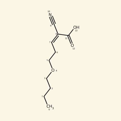 CCCCOCCC=C(C#N)C(=O)O